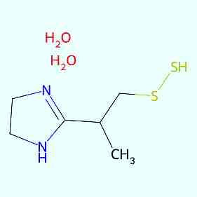 CC(CSS)C1=NCCN1.O.O